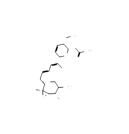 COC(=O)C[C@@H]1O[C@H](/C(C)=C/C=C/[C@@H](C)C[C@@]2(C)O[C@@H]2[C@H](C)C(OC)[C@@H](C)O)C=C[C@@H]1CO